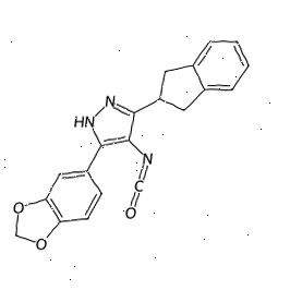 O=C=Nc1c(C2Cc3ccccc3C2)n[nH]c1-c1ccc2c(c1)OCO2